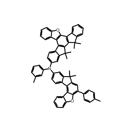 Cc1ccc(-c2cc3c(c4c2oc2ccccc24)-c2ccc(N(c4cccc(C)c4)c4ccc5c(c4)C(C)(C)c4c6c(c7oc8ccccc8c7c4-5)-c4ccccc4C6(C)C)cc2C3(C)C)cc1